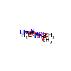 COc1ccc(OC)c(CCNC(=O)C(=O)Nc2ccc(Oc3ccnc4cc(OCC5CCNCC5)c(OC)cc34)c(F)c2)c1